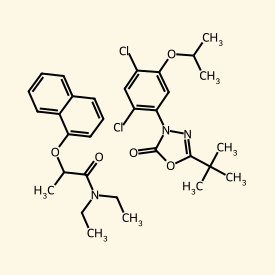 CC(C)Oc1cc(-n2nc(C(C)(C)C)oc2=O)c(Cl)cc1Cl.CCN(CC)C(=O)C(C)Oc1cccc2ccccc12